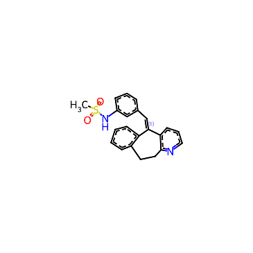 CS(=O)(=O)Nc1cccc(/C=C2\c3ccccc3CCc3ncccc32)c1